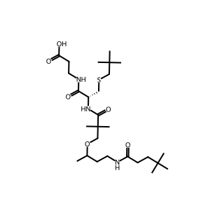 CC(CCNC(=O)CCC(C)(C)C)OCC(C)(C)C(=O)N[C@@H](CSCC(C)(C)C)C(=O)NCCC(=O)O